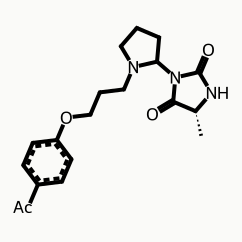 CC(=O)c1ccc(OCCCN2CCCC2N2C(=O)N[C@H](C)C2=O)cc1